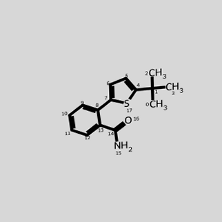 CC(C)(C)c1ccc(-c2ccccc2C(N)=O)s1